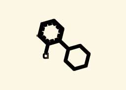 Clc1[c]cccc1C1CCCCC1